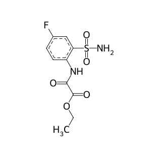 CCOC(=O)C(=O)Nc1ccc(F)cc1S(N)(=O)=O